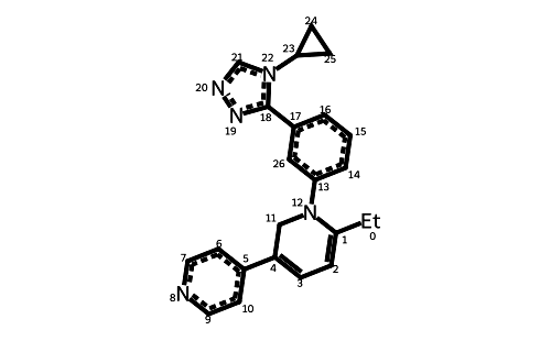 CCC1=CC=C(c2ccncc2)CN1c1cccc(-c2nncn2C2CC2)c1